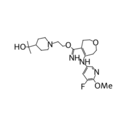 COc1ncc(NC2=C(C(=N)OCCN3CCC(C(C)(C)O)CC3)CCOCC2)cc1F